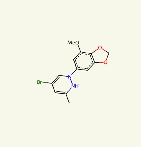 COc1cc(N2C=C(Br)C=C(C)N2)cc2c1OCO2